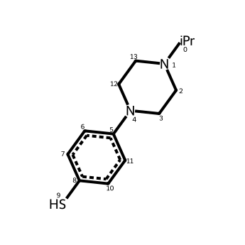 CC(C)N1CCN(c2ccc(S)cc2)CC1